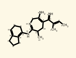 C/C=C(\C)C(=N)C1=C(N)CN=C(NC2=C3CCCC3=CCC2)C(C)C1